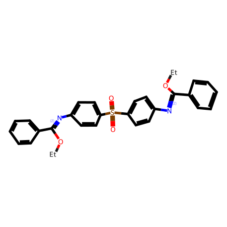 CCO/C(=N\c1ccc(S(=O)(=O)c2ccc(/N=C(\OCC)c3ccccc3)cc2)cc1)c1ccccc1